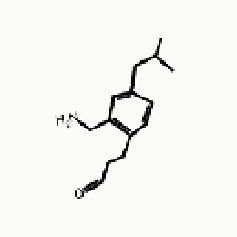 CC(C)Cc1ccc(CCC=O)c(CN)c1